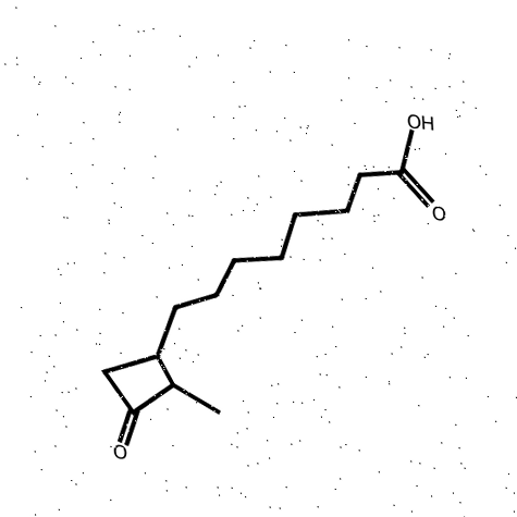 CC1C(=O)CC1CCCCCCCC(=O)O